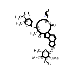 CC/C=C/[C@H]1CCC[C@H](OC2CC[C@H](N(C)C)[C@@H](C)O2)[C@@H](C)C(=O)C2=CC3C(C=CC4C[C@@H](O[C@@H]5O[C@@H](C)[C@H](OC)[C@@H](OCC)[C@H]5OC)CC43)C2CC(=O)O1